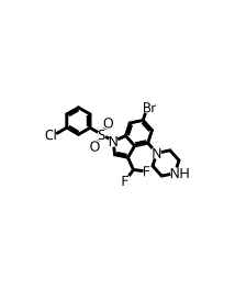 O=S(=O)(c1cccc(Cl)c1)n1cc(C(F)F)c2c(N3CCNCC3)cc(Br)cc21